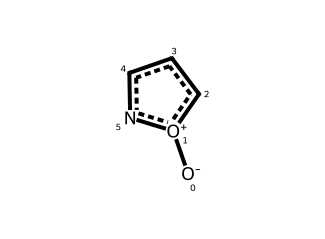 [O-][o+]1cccn1